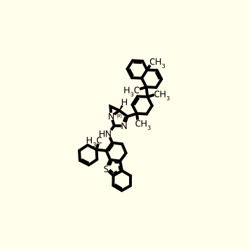 CC1(C2=NC(NC3=C(C4(C)CC=CCC4)c4sc5c(c4CC3)CCC=C5)N3C[C@H]23)C=CC(C)(C2(C)CC=CC3(C)C=CC=CC32)CC1